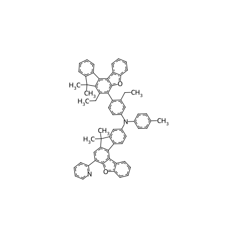 CCc1cc(N(c2ccc(C)cc2)c2ccc3c(c2)C(C)(C)c2cc(-c4ccccn4)c4oc5ccccc5c4c2-3)ccc1-c1c(CC)c2c(c3c1oc1ccccc13)-c1ccccc1C2(C)C